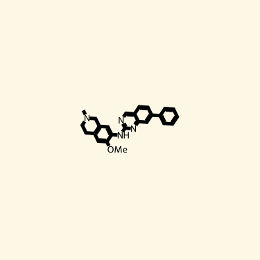 COc1cc2c(cc1Nc1ncc3ccc(-c4ccccc4)cc3n1)CN(C)CC2